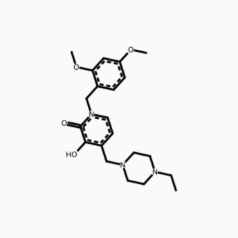 CCN1CCN(Cc2ccn(Cc3ccc(OC)cc3OC)c(=O)c2O)CC1